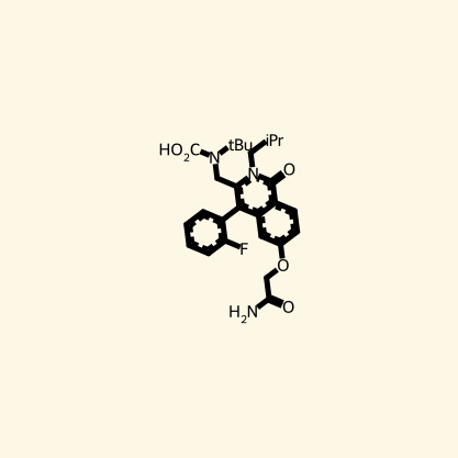 CC(C)Cn1c(CN(C(=O)O)C(C)(C)C)c(-c2ccccc2F)c2cc(OCC(N)=O)ccc2c1=O